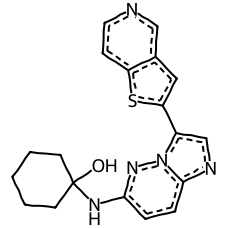 OC1(Nc2ccc3ncc(-c4cc5cnccc5s4)n3n2)CCCCC1